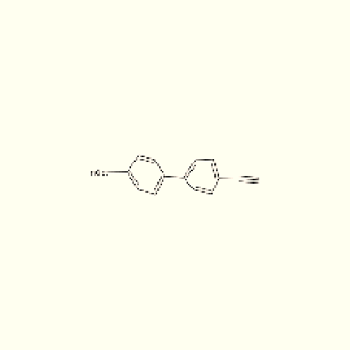 C#Cc1ccc(-c2ccc(CCCCCCCC)cc2)cc1